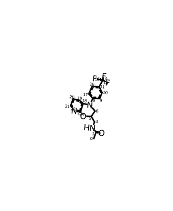 CC(=O)NCC1CN(c2ccc(C(F)(F)F)cc2)c2cccnc2O1